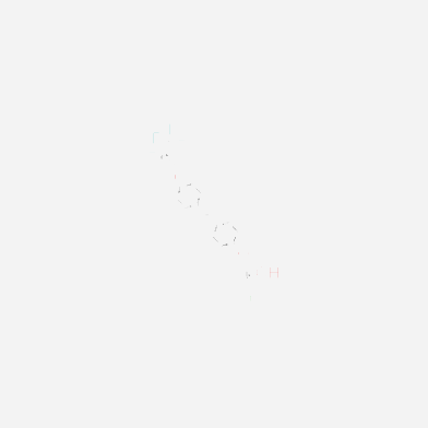 CC(C)(c1ccc(OC[C@H](O)CCl)cc1)c1ccc(OC[C@@H](F)C(F)(F)F)cc1